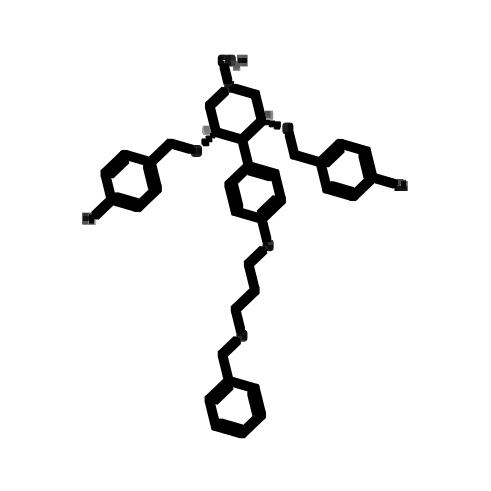 CCc1ccc(CO[C@H]2CN(C(=O)O)C[C@@H](OCc3ccc(CC)cc3)C2c2ccc(OCCCOCc3ccccc3)cc2)cc1